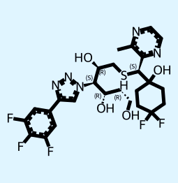 Cc1nccnc1[C@H]([SH]1C[C@H](O)[C@H](n2cc(-c3cc(F)c(F)c(F)c3)nn2)[C@@H](O)[C@H]1CO)C1(O)CCC(F)(F)CC1